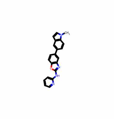 Cn1ccc2cc(-c3ccc4oc(Nc5ccccn5)nc4c3)ccc21